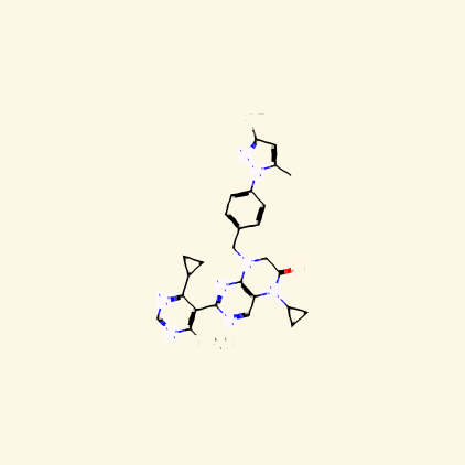 COc1ncnc(C2CC2)c1-c1ncc2c(n1)N(Cc1ccc(-n3nc(C(F)(F)F)cc3C)cc1)CC(=O)N2C1CC1